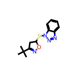 CC(C)(C)C1=NOC(Sn2nnc3ccccc32)C1